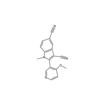 COc1ccncc1-c1c(C#N)c2cc(C#N)ccc2n1C